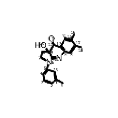 Cc1cccc(N2CCC3(O)C(=O)c4cc(C)c(C)cc4N=C23)c1